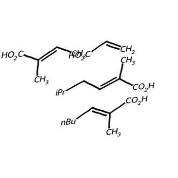 C=CC(=O)O.CC(=CCC(C)C)C(=O)O.CC=C(C)C(=O)O.CCCCC=C(C)C(=O)O